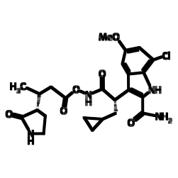 COc1cc(Cl)c2[nH]c(C(N)=O)c([C@H](CC3CC3)C(=O)NOC(=O)CC(C)[C@@H]3CCNC3=O)c2c1